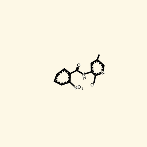 Cc1cnc(Cl)c(NC(=O)c2ccccc2[N+](=O)[O-])c1